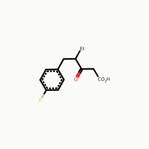 CCC(Cc1ccc(F)cc1)C(=O)CC(=O)O